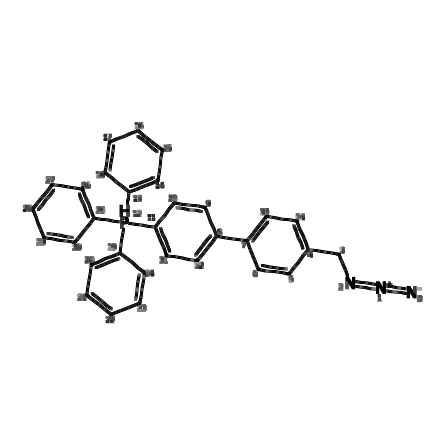 [N-]=[N+]=NCc1ccc(-c2ccc([PH](c3ccccc3)(c3ccccc3)c3ccccc3)cc2)cc1